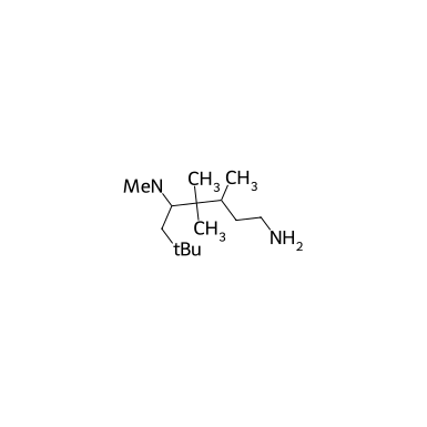 CNC(CC(C)(C)C)C(C)(C)C(C)CCN